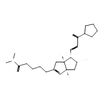 CN(C)C(=O)CCCCC1=C[C@H]2C[C@@H](O)[C@H](/C=C/C(=O)C3CCCC3)[C@H]2C1